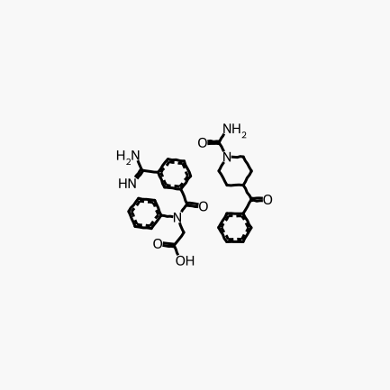 N=C(N)c1cccc(C(=O)N(CC(=O)O)c2ccccc2)c1.NC(=O)N1CCC(C(=O)c2ccccc2)CC1